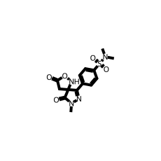 CN1N=C(c2ccc(S(=O)(=O)N(C)C)cc2)C2(CC(=O)ON2)C1=O